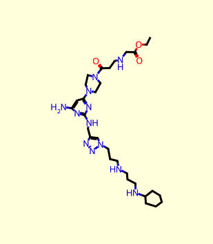 CCOC(=O)CNCCC(=O)N1CCN(c2cc(N)nc(NCc3cn(CCCNCCCNC4CCCCC4)nn3)n2)CC1